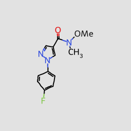 CON(C)C(=O)c1cnn(-c2ccc(F)cc2)c1